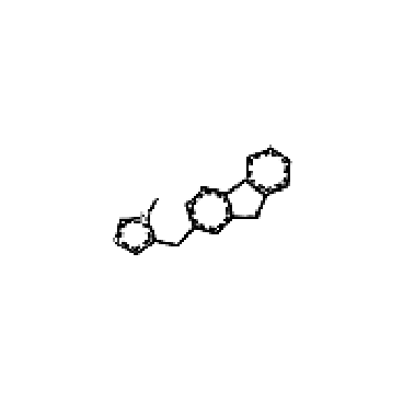 Cn1cncc1Cc1ccc2c(c1)Cc1ccccc1-2